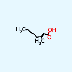 C=CCCCC(C)=CC(=O)O